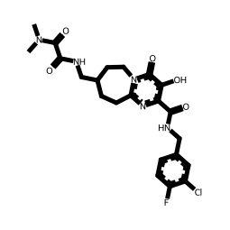 CN(C)C(=O)C(=O)NCC1CCc2nc(C(=O)NCc3ccc(F)c(Cl)c3)c(O)c(=O)n2CC1